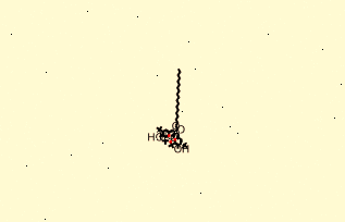 CCCCCCCCCCCCCCCCCCOC(=O)C(Cc1cc(C(C)(C)C)c(O)c(C(C)(C)C)c1)(Cc1cc(C(C)(C)C)c(O)c(C(C)(C)C)c1)C(=O)O